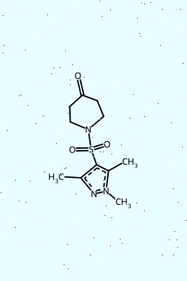 Cc1nn(C)c(C)c1S(=O)(=O)N1CCC(=O)CC1